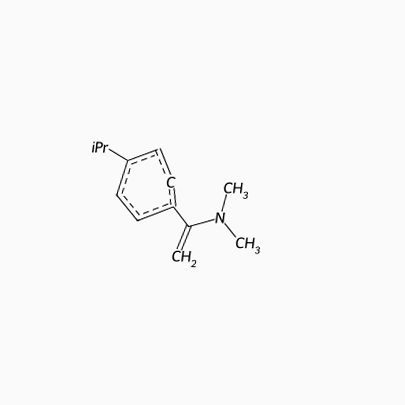 C=C(c1ccc(C(C)C)cc1)N(C)C